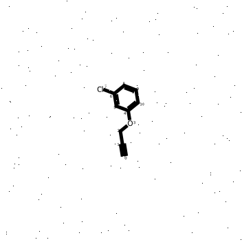 C#CCOc1[c]c(Cl)ccc1